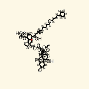 C=C1O[C@@H]2C[C@H]3[C@@H]4C[C@H](F)C5=CC(=O)C=C[C@]5(C)[C@@]4(F)[C@@H](O)C[C@]3(C)[C@]2(C(=O)COC(=O)OCC[N+](CC)(CC)Cc2cc(C(O)CNCCCCCCOCCCCc3ccccc3)ccc2OP(=O)(O)O)O1